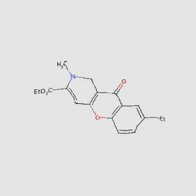 CCOC(=O)C1=Cc2oc3ccc(CC)cc3c(=O)c2CN1C